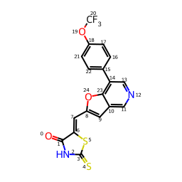 O=C1NC(=S)S/C1=C\c1cc2cncc(-c3ccc(OC(F)(F)F)cc3)c2o1